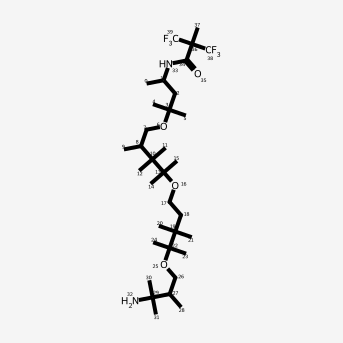 CC(CC(C)(C)OCC(C)C(C)(C)C(C)(C)OCCC(C)(C)C(C)(C)OCC(C)C(C)(C)N)NC(=O)C(C)(C(F)(F)F)C(F)(F)F